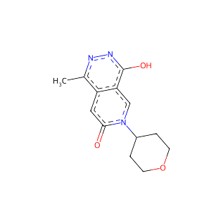 Cc1nnc(O)c2cn(C3CCOCC3)c(=O)cc12